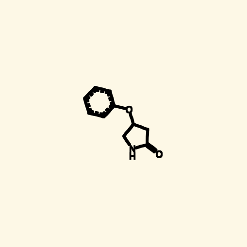 O=C1CC(Oc2ccccc2)CN1